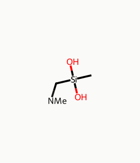 CNC[Si](C)(O)O